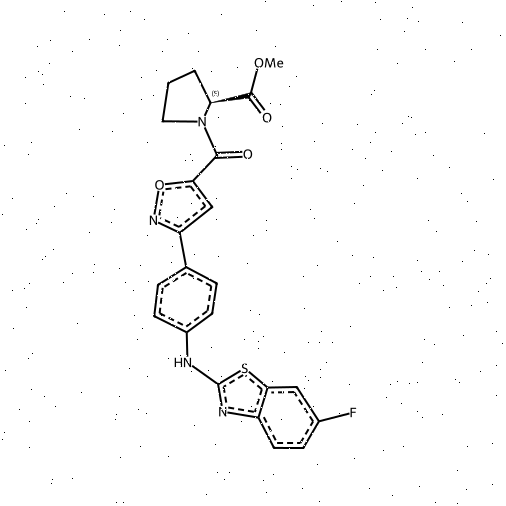 COC(=O)[C@@H]1CCCN1C(=O)c1cc(-c2ccc(Nc3nc4ccc(F)cc4s3)cc2)no1